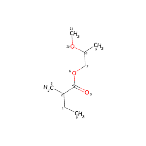 CCC(C)C(=O)OCC(C)OC